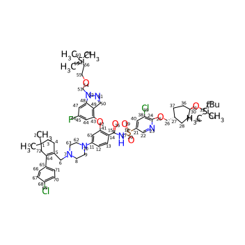 CC1(C)CCC(CN2CCN(c3ccc(C(=O)NS(=O)(=O)c4cnc(OC[C@H]5CC[C@H](O[Si](C)(C)C(C)(C)C)CC5)c(Cl)c4)c(Oc4cc(F)cc5c4cnn5COCC[Si](C)(C)C)c3)CC2)=C(c2ccc(Cl)cc2)C1